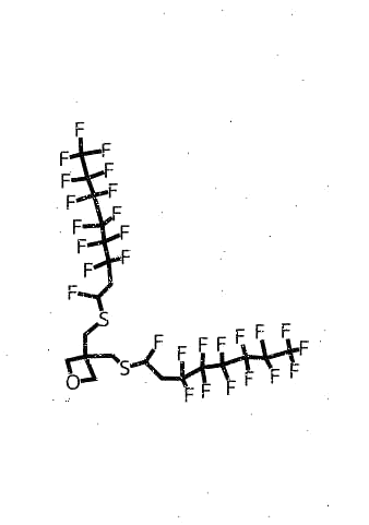 FC(CC(F)(F)C(F)(F)C(F)(F)C(F)(F)C(F)(F)C(F)(F)F)SCC1(CSC(F)CC(F)(F)C(F)(F)C(F)(F)C(F)(F)C(F)(F)C(F)(F)F)COC1